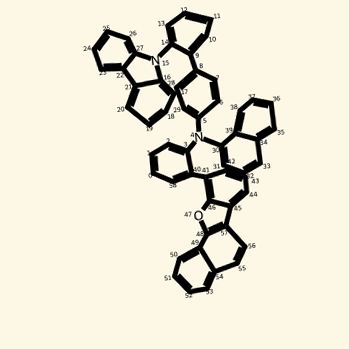 c1ccc(N(c2ccc(-c3ccccc3-n3c4ccccc4c4ccccc43)cc2)c2cccc3ccccc23)c(-c2cccc3c2oc2c4ccccc4ccc32)c1